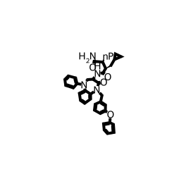 CCC[C@H](C(N)=O)[C@@H](CC1CC1)C(=O)NC1CN(c2ccccc2)c2ccccc2N(Cc2cccc(Oc3ccccc3)c2)C1=O